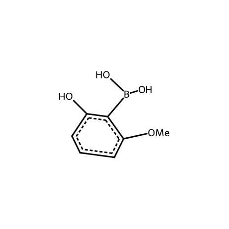 COc1cccc(O)c1B(O)O